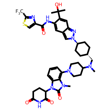 CN(C[C@H]1CC[C@H](n2cc3cc(NC(=O)c4csc(C(F)(F)F)n4)c(C(C)(C)O)cc3n2)CC1)C1CCN(c2cccc3c2n(C)c(=O)n3C2CCC(=O)NC2=O)CC1